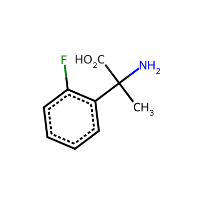 CC(N)(C(=O)O)c1ccccc1F